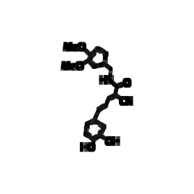 COc1ccc(CNC(=O)C(C#N)=CC=Cc2ccc(O)c(O)c2)cc1OC